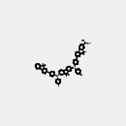 Cc1ccc(N(c2ccc(-c3ccc4c(c3)C(C)(C)c3ccccc3-4)cc2)c2ccc3c(c2)C(C)(C)c2cc(N(c4ccc(C)cc4)c4ccc(-c5ccc6c(c5)C(C)(C)c5cc(C(C(C)C)C(C)C)ccc5-6)cc4)ccc2-3)cc1